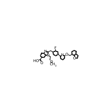 COCCn1c(Cc2ccc(-c3cccc(OCc4cccc5ccoc45)n3)cc2F)nc2ccc(C(=O)O)cc21